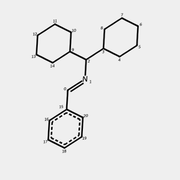 C(=NC(C1CCCCC1)C1CCCCC1)c1ccccc1